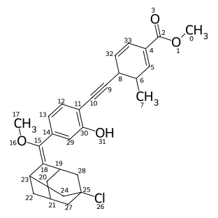 COC(=O)C1=CC(C)C(C#Cc2ccc(C(OC)=C3C4CC5CC3CC(Cl)(C5)C4)cc2O)C=C1